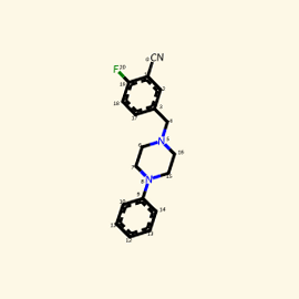 N#Cc1cc(CN2CCN(c3cc[c]cc3)CC2)ccc1F